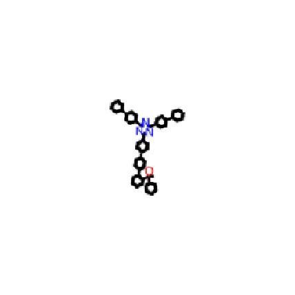 CC1(c2ccccc2)Oc2cc(-c3ccc(-c4nc(-c5ccc(-c6ccccc6)cc5)nc(-c5ccc(-c6ccccc6)cc5)n4)cc3)ccc2-c2ccccc21